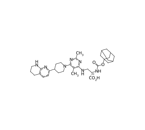 Cc1nc(NC[C@H](NC(=O)OC23CC4CC(CC(C4)C2)C3)C(=O)O)c(C)c(N2CCC(c3ccc4c(n3)NCCC4)CC2)n1